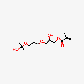 C=C(C)C(=O)OCC(O)COCCCOC(C)(C)O